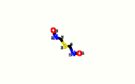 O=NCSCN=O